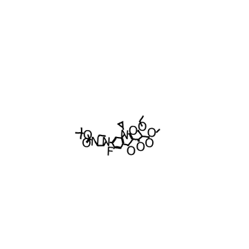 CCOC(=O)C(C(=O)OCC)C(=O)c1cn(C2CC2)c2cc(N3CCN(C(=O)OC(C)(C)C)CC3)c(F)cc2c1=O